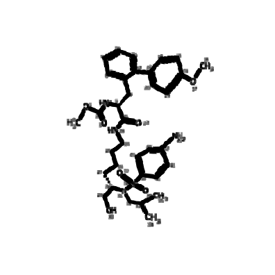 COC(=O)N[C@@H](Cc1ccccc1-c1ccc(OC)cc1)C(=O)NCCCC[C@@H](CO)N(CC(C)C)S(=O)(=O)c1ccc(N)cc1